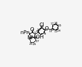 C[CH]CC(=N)C(=O)C(c1ccc(OCc2ccccc2)c(Cl)c1)C1(O)CCCCC1